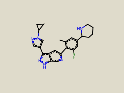 Cc1cc(C2CCCCN2)cc(F)c1-c1cc2c(-c3cnn(C4CC4)c3)n[nH]c2cn1